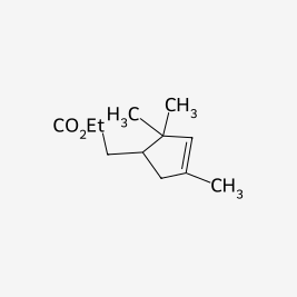 CCOC(=O)CC1CC(C)=CC1(C)C